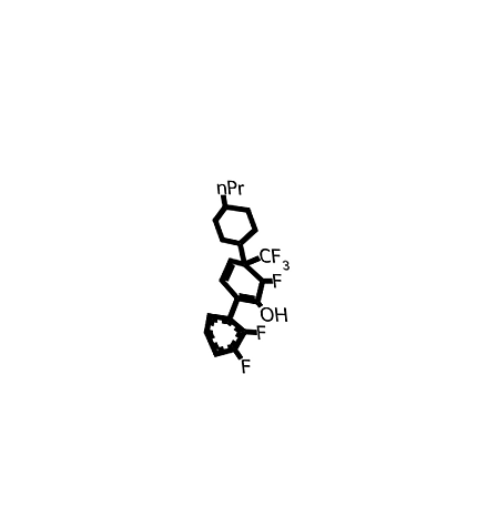 CCCC1CCC(C2(C(F)(F)F)C=CC(c3cccc(F)c3F)=C(O)C2F)CC1